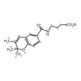 CCOC(=O)CCCNC(=O)c1ccc2c(c1)C=C(C)C(C)(C)O2